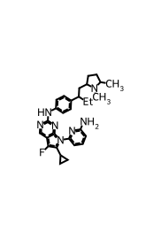 CCC(CC1CCC(C)N1C)c1ccc(Nc2ncc3c(F)c(C4CC4)n(-c4cccc(N)n4)c3n2)cc1